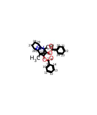 CC12CC(C)(C(OC(=O)c3ccccc3)C1OC(=O)c1ccccc1)C1C3CCC(N3)C12